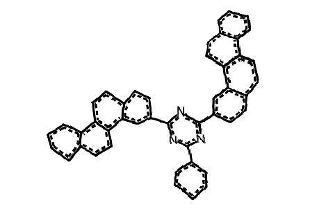 c1ccc(-c2nc(-c3ccc4ccc5c6ccccc6ccc5c4c3)nc(-c3ccc4ccc5c6ccccc6ccc5c4c3)n2)cc1